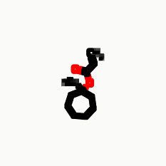 C=CC(=O)OC1(CCCC)CCCCCC1